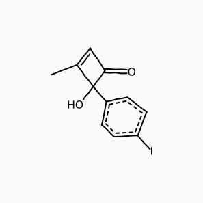 CC1=CC(=O)C1(O)c1ccc(I)cc1